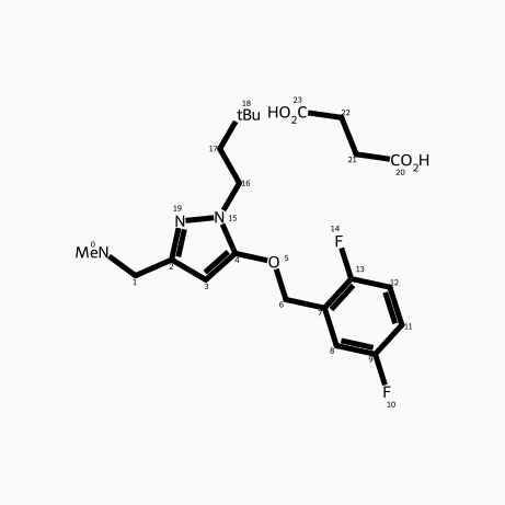 CNCc1cc(OCc2cc(F)ccc2F)n(CCC(C)(C)C)n1.O=C(O)CCC(=O)O